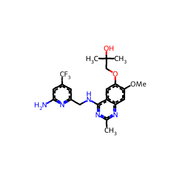 COc1cc2nc(C)nc(NCc3cc(C(F)(F)F)cc(N)n3)c2cc1OCC(C)(C)O